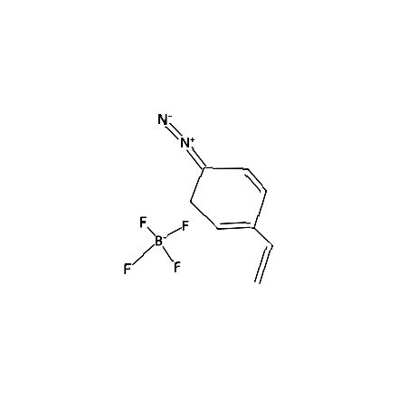 C=CC1=CCC(=[N+]=[N-])C=C1.F[B-](F)(F)F